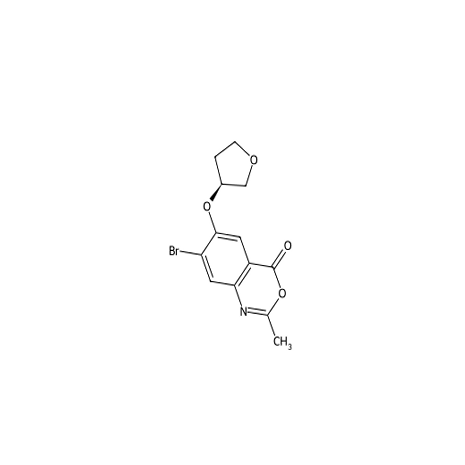 Cc1nc2cc(Br)c(O[C@H]3CCOC3)cc2c(=O)o1